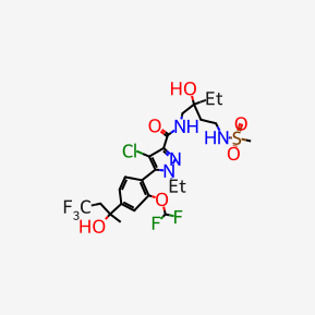 CCn1nc(C(=O)NCC(O)(CC)CCNS(C)(=O)=O)c(Cl)c1-c1ccc(C(C)(O)CC(F)(F)F)cc1OC(F)F